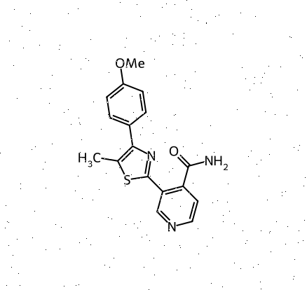 COc1ccc(-c2nc(-c3cnccc3C(N)=O)sc2C)cc1